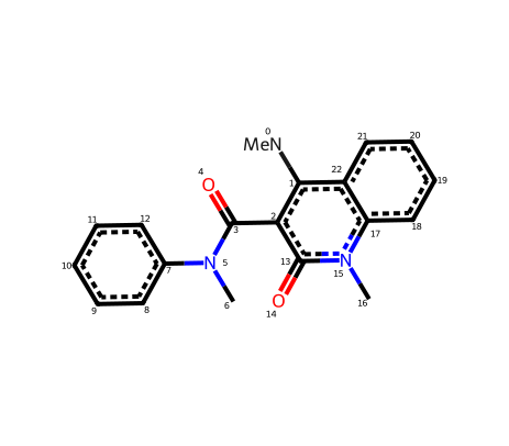 CNc1c(C(=O)N(C)c2ccccc2)c(=O)n(C)c2ccccc12